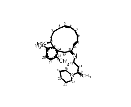 C=C1CCC/C=C\CC/C=C/C(=N/CCC(=C)N2CCCCC2)Cc2c(C)ccc(C)c21